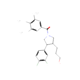 COc1cc(C(=O)N2CC(CCCO)C(c3ccc(Cl)c(Cl)c3)C2)cc(OC)c1OC